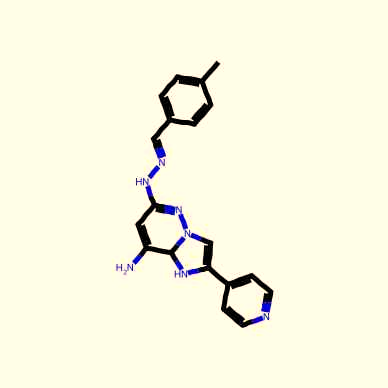 Cc1ccc(/C=N/NC2=NN3C=C(c4ccncc4)NC3C(N)=C2)cc1